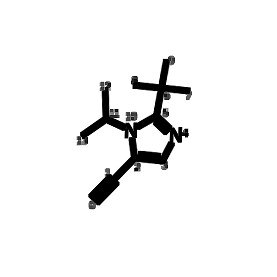 C#Cc1cnc(C(C)(C)C)n1C(C)C